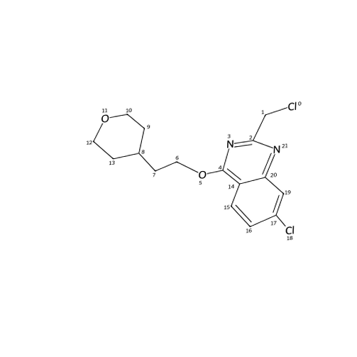 ClCc1nc(OCCC2CCOCC2)c2ccc(Cl)cc2n1